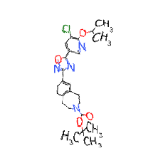 CC(C)Oc1ncc(-c2nc(-c3ccc4c(c3)CCN(C(=O)OC(C)(C)C)CC4)no2)cc1Cl